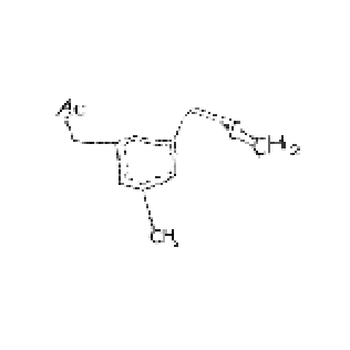 C=C=Cc1cc(C)cc(CC(C)=O)c1